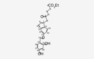 CCOC(=O)CCCC(=O)Cc1csc2cc(OCc3ccc(O)cc3O)ccc12